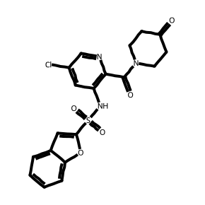 O=C1CCN(C(=O)c2ncc(Cl)cc2NS(=O)(=O)c2cc3ccccc3o2)CC1